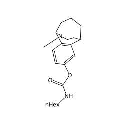 CCCCCCNC(=O)Oc1ccc2c(c1)C1CCCC2N(C)CC1